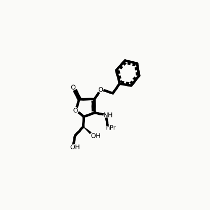 CCCNC1=C(OCc2ccccc2)C(=O)OC1[C@@H](O)CO